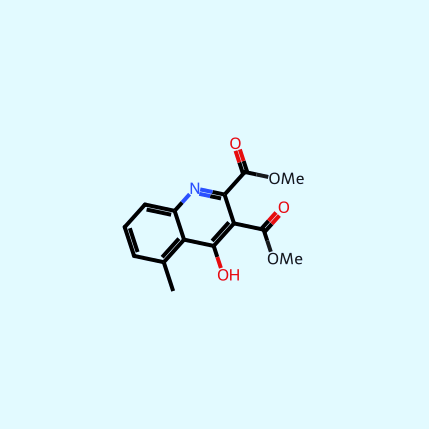 COC(=O)c1nc2cccc(C)c2c(O)c1C(=O)OC